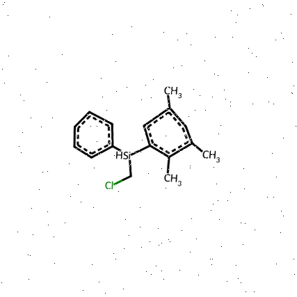 Cc1cc(C)c(C)c([SiH](CCl)c2ccccc2)c1